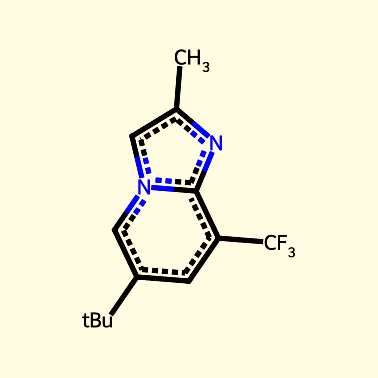 Cc1cn2cc(C(C)(C)C)cc(C(F)(F)F)c2n1